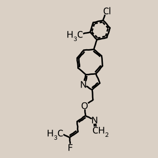 C=N/C(=C\C=C(/C)F)OCC1=C/C2=C/C=C(/c3ccc(Cl)cc3C)C=C=CC2=N1